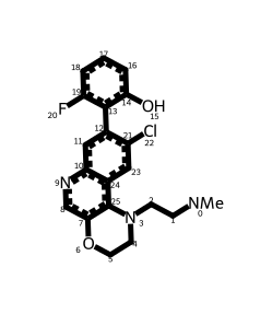 CNCCN1CCOc2cnc3cc(-c4c(O)cccc4F)c(Cl)cc3c21